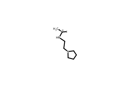 C[C@@H](I)NCCN1CCCC1